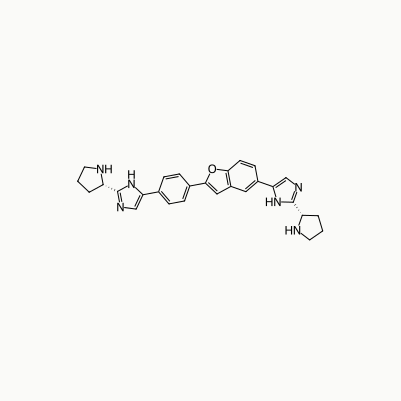 c1cc(-c2cc3cc(-c4cnc([C@@H]5CCCN5)[nH]4)ccc3o2)ccc1-c1cnc([C@@H]2CCCN2)[nH]1